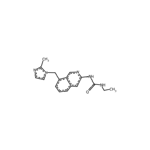 CCNC(=O)Nc1cc2cccc(Cn3ccnc3C)c2cn1